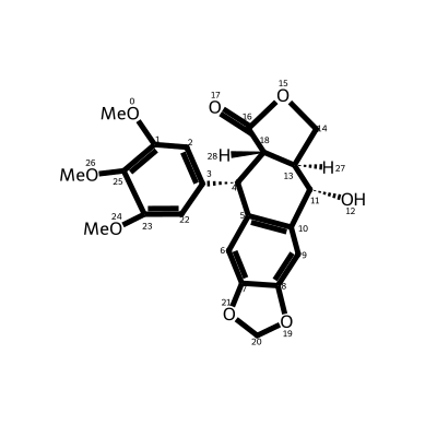 COc1cc([C@H]2c3cc4c(cc3[C@@H](O)[C@@H]3COC(=O)[C@@H]23)OCO4)cc(OC)c1OC